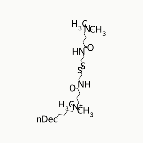 CCCCCCCCCCCCCC[N+](C)(C)CCCC(=O)NCCSSCCNC(=O)CCCN(C)C